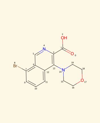 O=C(O)c1ncc2c(Br)cccc2c1N1CCOCC1